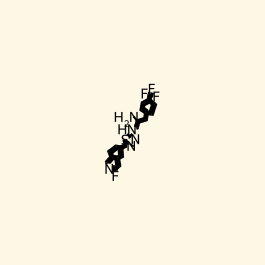 N[C@H](CNc1nnc(-c2ccc3cnc(F)cc3c2)s1)Cc1ccc(C(F)(F)F)cc1